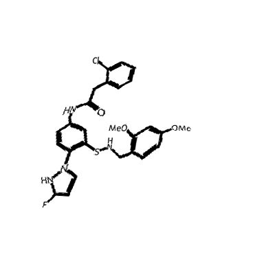 COc1ccc(CNSc2cc(NC(=O)Cc3ccccc3Cl)ccc2N2C=CC(F)N2)c(OC)c1